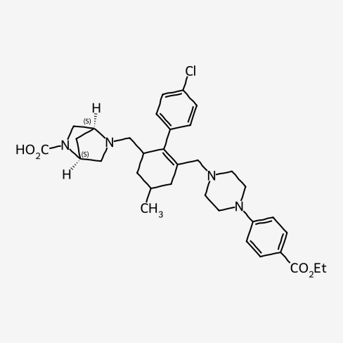 CCOC(=O)c1ccc(N2CCN(CC3=C(c4ccc(Cl)cc4)C(CN4C[C@@H]5C[C@H]4CN5C(=O)O)CC(C)C3)CC2)cc1